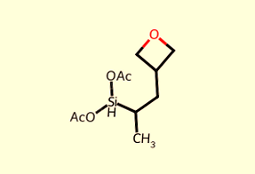 CC(=O)O[SiH](OC(C)=O)C(C)CC1COC1